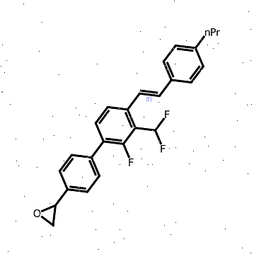 CCCc1ccc(/C=C/c2ccc(-c3ccc(C4CO4)cc3)c(F)c2C(F)F)cc1